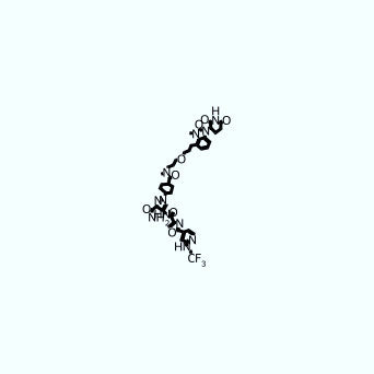 CN(CCCOCCCc1cccc2c1n(C)c(=O)n2C1CCC(=O)NC1=O)C(=O)C1CCC(n2cc(NC(=O)c3coc(-c4ccnc(NCC(F)(F)F)c4)n3)c(C(N)=O)n2)CC1